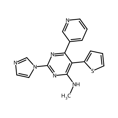 CNc1nc(-n2ccnc2)nc(-c2cccnc2)c1-c1cccs1